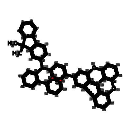 CC1(C)c2ccccc2-c2ccc(N(c3ccc(-c4cc5c6c(c4)c4cccc7c4n6-c4c(cccc4O5)O7)cc3)c3ccccc3-c3ccccc3)cc21